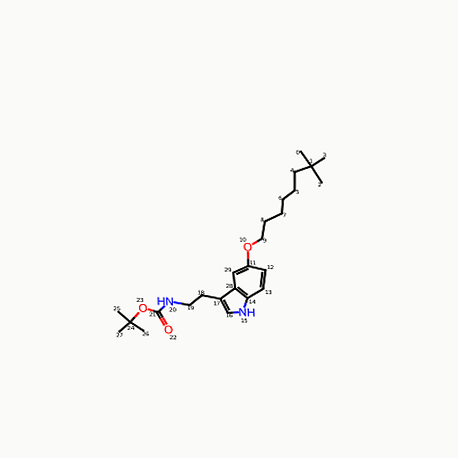 CC(C)(C)CCCCCCOc1ccc2[nH]cc(CCNC(=O)OC(C)(C)C)c2c1